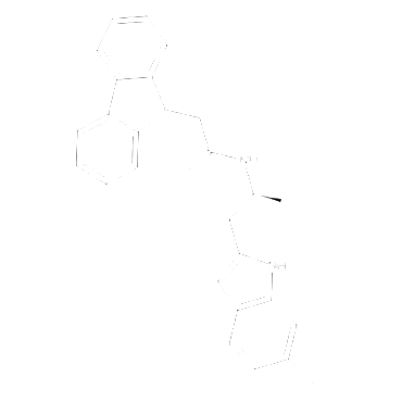 O=C(CC1c2ccccc2-c2ccccc21)N[C@H](Cc1cc2ccc(F)cc2[nH]1)C(=O)O